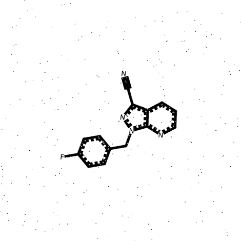 N#Cc1nn(Cc2ccc(F)cc2)c2ncccc12